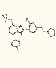 Cc1ccnc(Cn2c(-c3ccc(CCN4CCCC4)cc3Cl)nc3c(OC4(C)CC4)ncnc32)c1